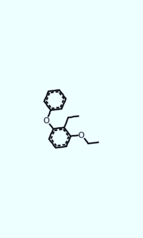 CCOc1cccc(Oc2ccccc2)c1CC